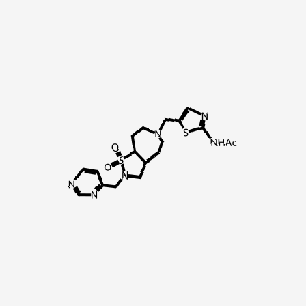 CC(=O)Nc1ncc(CN2CCC3CN(Cc4ccncn4)S(=O)(=O)C3CC2)s1